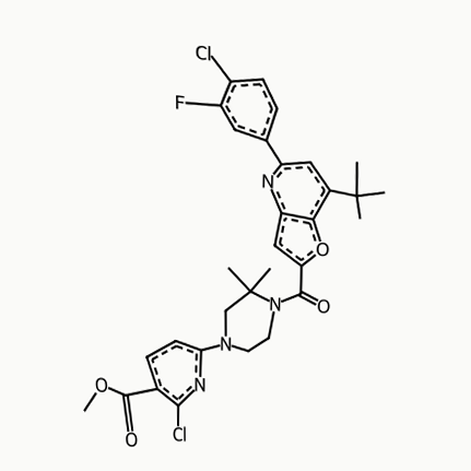 COC(=O)c1ccc(N2CCN(C(=O)c3cc4nc(-c5ccc(Cl)c(F)c5)cc(C(C)(C)C)c4o3)C(C)(C)C2)nc1Cl